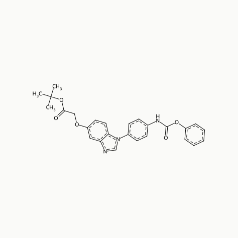 CC(C)(C)OC(=O)COc1ccc2c(c1)ncn2-c1ccc(NC(=O)Oc2ccccc2)cc1